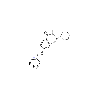 NC/C(=C\F)COc1ccc2c(=O)[nH]c(C3CCCCC3)cc2c1